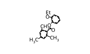 CCOc1ccccc1OC(=O)c1c(C)cc(C)cc1C